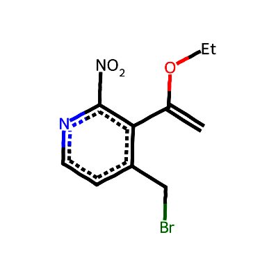 C=C(OCC)c1c(CBr)ccnc1[N+](=O)[O-]